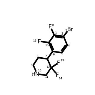 Fc1c(Br)ccc(C2CCNCC2(F)F)c1F